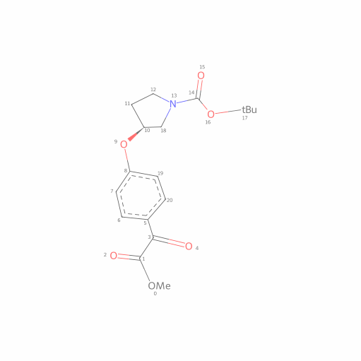 COC(=O)C(=O)c1ccc(O[C@H]2CCN(C(=O)OC(C)(C)C)C2)cc1